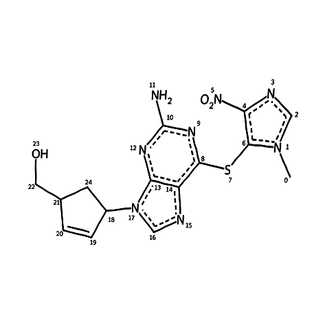 Cn1cnc([N+](=O)[O-])c1Sc1nc(N)nc2c1ncn2C1C=CC(CO)C1